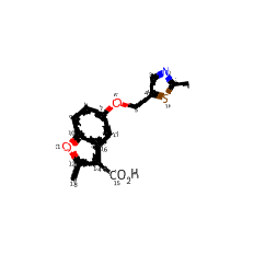 Cc1ncc(COc2ccc3oc(C)c(C(=O)O)c3c2)s1